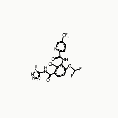 Cn1nnnc1NC(=O)c1ccc(OC(F)F)c(NC(=O)c2ccc(C(F)(F)F)cn2)c1Cl